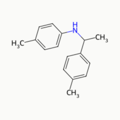 Cc1ccc(NC(C)c2ccc(C)cc2)cc1